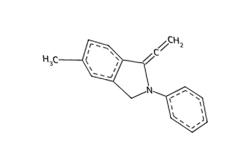 C=C=C1c2ccc(C)cc2CN1c1ccccc1